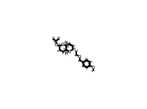 COc1ccc(COCC[C@H]2C=C[C@H]3OC(OC(C)C)CC[C@@H]3O2)cc1